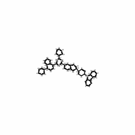 C1=CC(n2c3ccccc3c3ccccc32)CC=C1c1ccc2cc(-c3nc(-c4ccccc4)nc(-c4ccc(-c5ccccc5)c5ccccc45)n3)ccc2c1